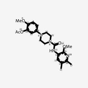 COc1ccc(N2CCN(C(=O)Nc3cc(C)c(C)nc3OC)CC2)cc1OC(C)=O